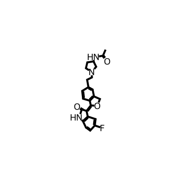 CC(=O)NC1CCN(CCc2ccc3c(c2)CO/C3=C2/C(=O)Nc3ccc(F)cc32)C1